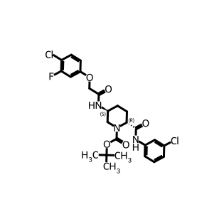 CC(C)(C)OC(=O)N1C[C@@H](NC(=O)COc2ccc(Cl)c(F)c2)CC[C@@H]1C(=O)Nc1cccc(Cl)c1